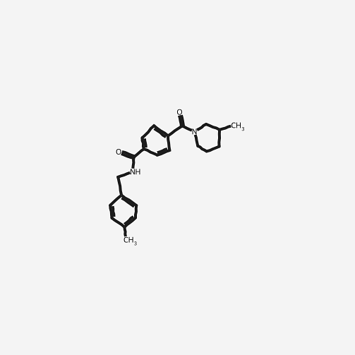 Cc1ccc(CNC(=O)c2ccc(C(=O)N3CCCC(C)C3)cc2)cc1